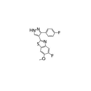 COc1cc2sc(-c3c[nH]nc3-c3ccc(F)cc3)nc2cc1F